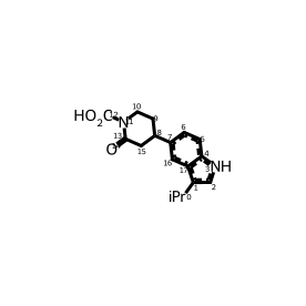 CC(C)c1c[nH]c2ccc(C3CCN(C(=O)O)C(=O)C3)cc12